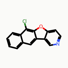 Clc1c2ccccc2cc2c1oc1ccncc12